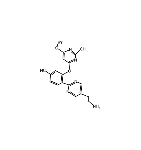 Cc1nc(Oc2cc(C#N)ccc2-c2ncc(CCN)cn2)cc(OC(C)C)n1